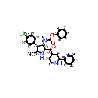 CN(C(=O)Oc1ccccc1)[C@@H]1C(C(=O)C2CCNC(c3ccccn3)C2)NC(C#N)[C@H]1c1ccc(Cl)cc1